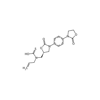 C=CCN(C[C@@H]1CN(c2ccc(N3CCOC3=O)cc2)C(=O)O1)C(O)=S